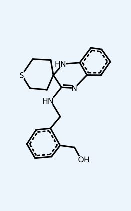 OCc1ccccc1CNC1=Nc2ccccc2NC12CCSCC2